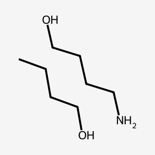 CCCCO.NCCCCO